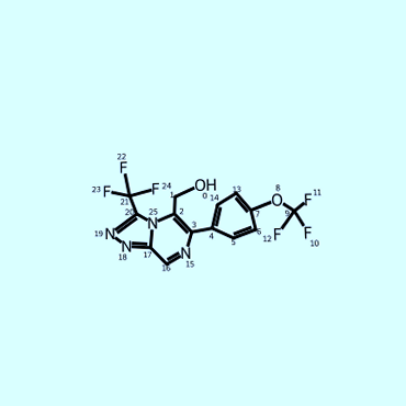 OCc1c(-c2ccc(OC(F)(F)F)cc2)ncc2nnc(C(F)(F)F)n12